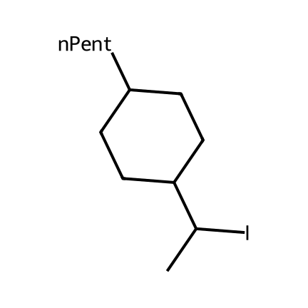 CCCCCC1CCC(C(C)I)CC1